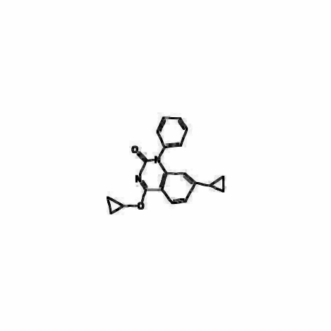 O=c1nc(OC2CC2)c2ccc(C3CC3)cc2n1-c1ccccc1